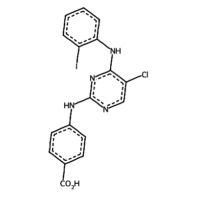 O=C(O)c1ccc(Nc2ncc(Cl)c(Nc3ccccc3I)n2)cc1